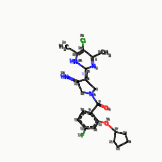 CC1=N/C(=C2\CN(C(=O)c3ccc(F)cc3OC3CCCC3)CC2=N)NC(C)=C1Cl